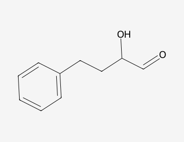 O=CC(O)CCc1ccccc1